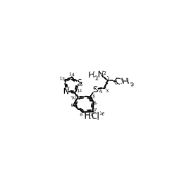 C[C@H](N)CSc1ccccc1-c1nccs1.Cl